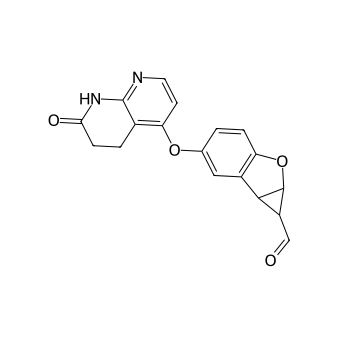 O=CC1C2Oc3ccc(Oc4ccnc5c4CCC(=O)N5)cc3C12